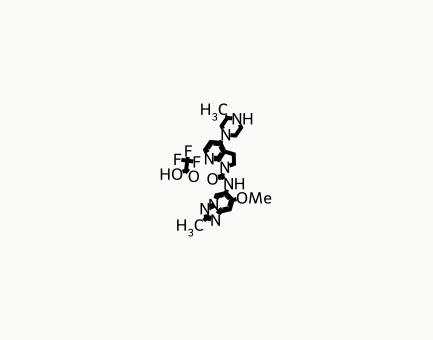 COc1cc2nc(C)nn2cc1NC(=O)N1CCc2c(N3CCN[C@H](C)C3)ccnc21.O=C(O)C(F)(F)F